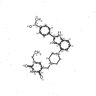 CCn1cc(CN2CCN(c3cccc4[nH]c(-c5ccc([S+](C)[O-])cc5)nc34)CC2)c(=O)[nH]c1=O